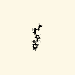 O=C(NC1CCC(F)(F)CC1)c1cc([C@@H]2C[C@H]2NCC2CC2)cs1